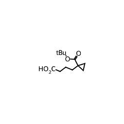 CC(C)(C)OC(=O)C1(CCCC(=O)O)CC1